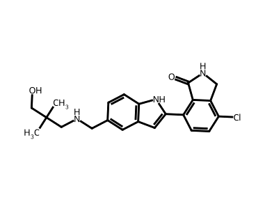 CC(C)(CO)CNCc1ccc2[nH]c(-c3ccc(Cl)c4c3C(=O)NC4)cc2c1